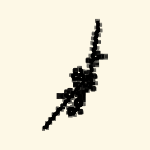 CCCCCCCCCCCCCCC(CC(=O)NCCNC(=O)C(C)(CC(CC)N1CCCC1=O)CC(C)(CC(C)(C)C(=O)NCCNC(=O)c1ccc(C(=O)c2ccccc2)cc1)C(=O)NCCNC(=O)C(CCCCCCCCCCCCC)CC(=O)O)C(=O)O